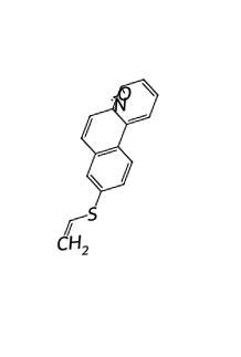 C=CSc1ccc2c(c1)C=CC13N=COC1C=CC=C23